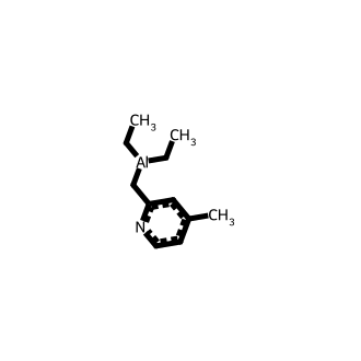 C[CH2][Al]([CH2]C)[CH2]c1cc(C)ccn1